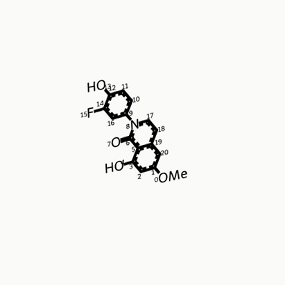 COc1cc(O)c2c(=O)n(-c3ccc(O)c(F)c3)ccc2c1